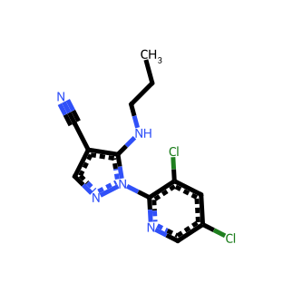 CCCNc1c(C#N)cnn1-c1ncc(Cl)cc1Cl